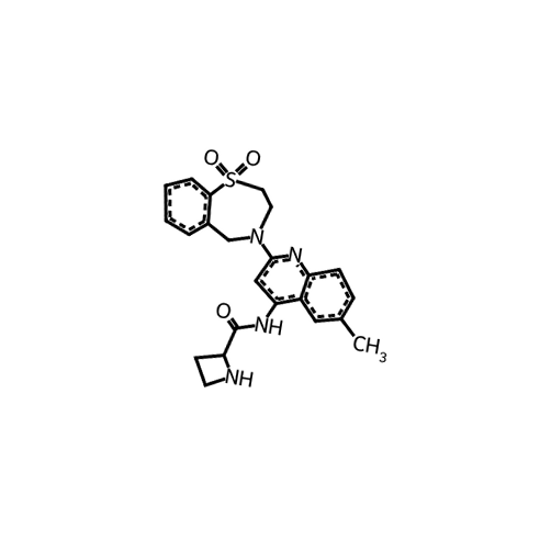 Cc1ccc2nc(N3CCS(=O)(=O)c4ccccc4C3)cc(NC(=O)C3CCN3)c2c1